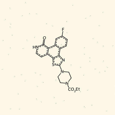 CCOC(=O)N1CCN(c2nc3c4ccc(F)cc4c4c(=O)[nH]ccc4c3s2)CC1